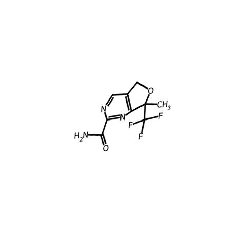 CC1(C(F)(F)F)OCc2cnc(C(N)=O)nc21